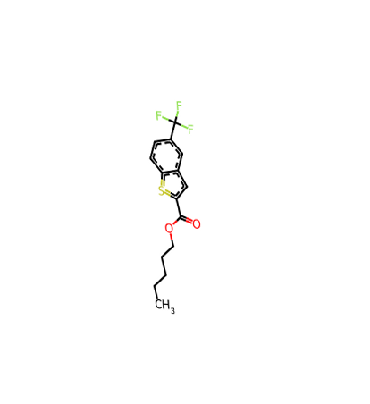 CCCCCOC(=O)c1cc2cc(C(F)(F)F)ccc2s1